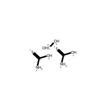 NC(O)=S.NC(O)=S.O=CO